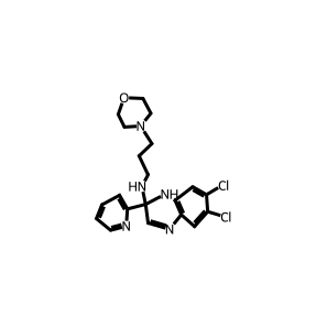 Clc1cc2c(cc1Cl)NC(NCCCN1CCOCC1)(c1ccccn1)C=N2